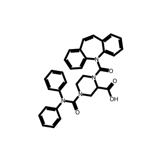 O=C(O)C1CN(C(=O)N(c2ccccc2)c2ccccc2)CCN1C(=O)N1c2ccccc2C=Cc2ccccc21